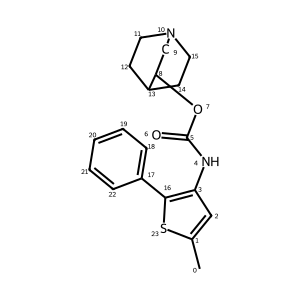 Cc1cc(NC(=O)OC2CN3CCC2CC3)c(-c2ccccc2)s1